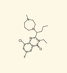 CCCC(c1nc2c(Cl)cc(F)cc2c(=O)n1CC)N1CCCN(C)CC1